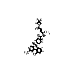 C[C@H](/C=C/C(=O)N1CC(F)(F)C1)NC(=O)C1(F)CCN(S(=O)(=O)c2cnc(C(F)(F)F)cc2-c2ccccc2Cl)CC1